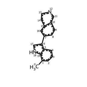 Cc1cccc2c(-c3ccc4cnccc4c3)c[nH]c12